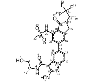 C[C@H](CO)NC(=O)c1c(N)nn2ccc(-c3cc4c(c(NS(C)(=O)=O)c3)C(=O)N([C@@H](C)C(F)(F)F)C4)nc12